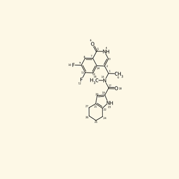 CC(c1c[nH]c(=O)c2cc(F)c(F)cc12)N(C)C(=O)c1cc2c([nH]1)CCCC2